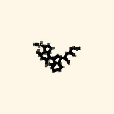 CCCCCCCC(=O)CC(=O)n1cc(-c2c(CCCCCCC)cc(=O)n3c2SCC3C(=O)O)c2ccccc21